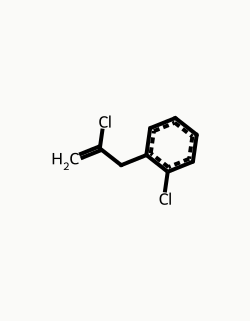 C=C(Cl)Cc1ccccc1Cl